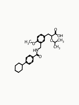 COc1ccc(CC(OC(C)C)C(=O)O)cc1CNC(=O)c1ccc(C2CCCCC2)cc1